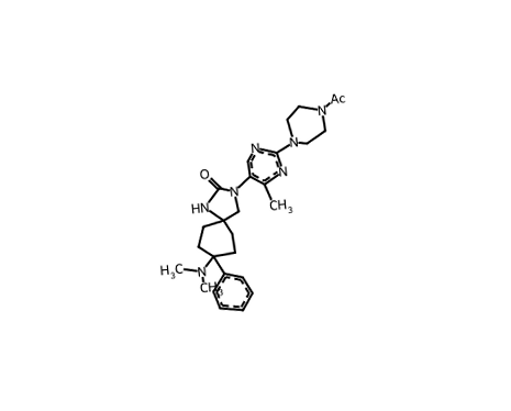 CC(=O)N1CCN(c2ncc(N3CC4(CCC(c5ccccc5)(N(C)C)CC4)NC3=O)c(C)n2)CC1